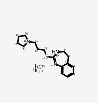 Cl.Cl.c1ccc2c(c1)CCNC(SCCCN1CCCC1)=N2